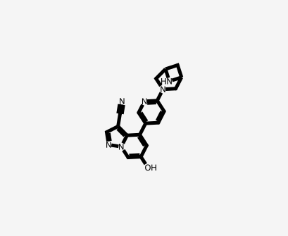 N#Cc1cnn2cc(O)cc(-c3ccc(N4CC5CC(C4)N5)nc3)c12